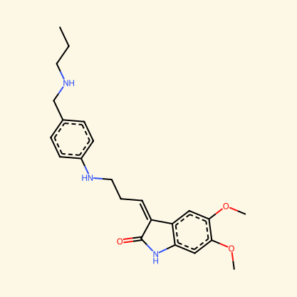 CCCNCc1ccc(NCCC=C2C(=O)Nc3cc(OC)c(OC)cc32)cc1